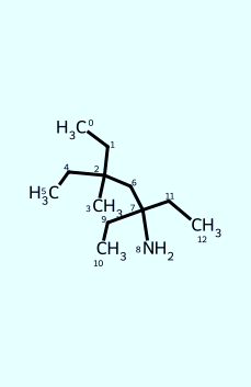 CCC(C)(CC)CC(N)(CC)CC